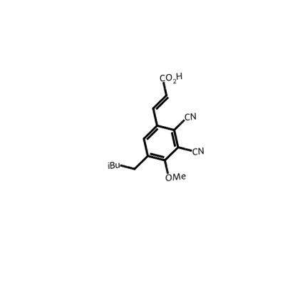 CCC(C)Cc1cc(C=CC(=O)O)c(C#N)c(C#N)c1OC